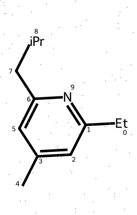 CCc1cc(C)cc(CC(C)C)n1